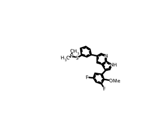 COc1c(F)cc(F)cc1-c1c[nH]c2ncc(-c3cccc(SN(C)C)c3)cc12